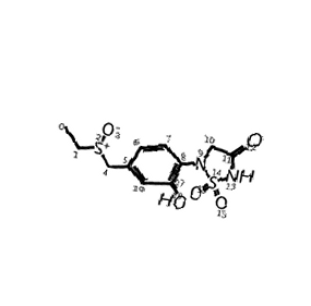 CC[S+]([O-])Cc1ccc(N2CC(=O)NS2(=O)=O)c(O)c1